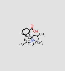 C=CCN1C(C)(C)CC(C)CC1(C)C.O=C(O)c1ccccc1